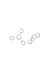 c1ccc(-c2cc(-c3ccccc3)cc(-c3cccc(-c4ccc5oc6c7ccccc7ccc6c5c4)c3)c2)cc1